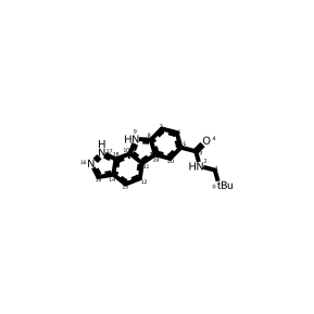 CC(C)(C)CNC(=O)c1ccc2[nH]c3c(ccc4cn[nH]c43)c2c1